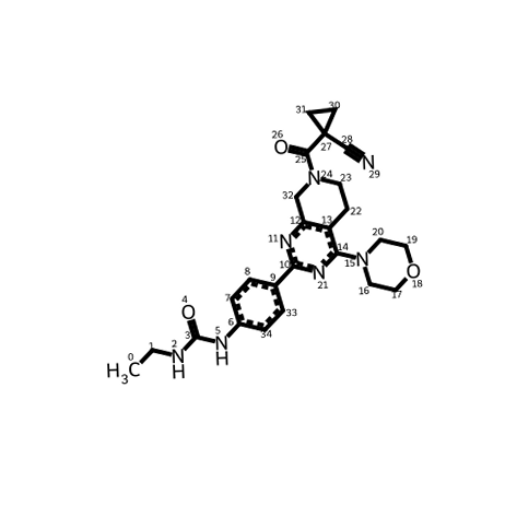 CCNC(=O)Nc1ccc(-c2nc3c(c(N4CCOCC4)n2)CCN(C(=O)C2(C#N)CC2)C3)cc1